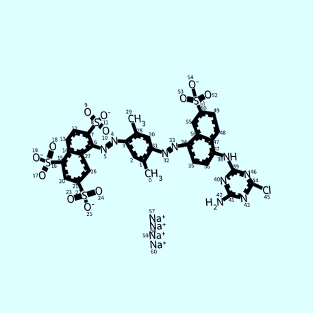 Cc1cc(N=Nc2c(S(=O)(=O)[O-])ccc3c(S(=O)(=O)[O-])cc(S(=O)(=O)[O-])cc23)c(C)cc1N=Nc1ccc(Nc2nc(N)nc(Cl)n2)c2ccc(S(=O)(=O)[O-])cc12.[Na+].[Na+].[Na+].[Na+]